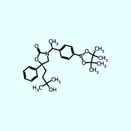 C[C@@H](c1ccc(B2OC(C)(C)C(C)(C)O2)cc1)N1C[C@](CCC(C)(C)O)(c2ccccc2)OC1=O